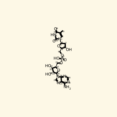 Cc1cn([C@H]2C[C@H](O)[C@@H](COP(=O)(O)OC[C@H]3O[C@@H](n4cnc5c(N)ncnc54)[C@H](O)[C@@H]3O)O2)c(=O)[nH]c1=O